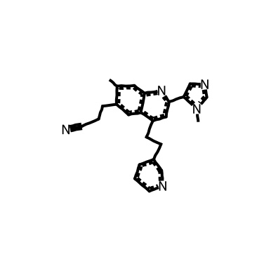 Cc1cc2nc(-c3cncn3C)cc(CCc3cccnc3)c2cc1CCC#N